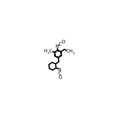 CCc1cc(CC2CCCCC2N=C=O)cc(C)c1N=C=O